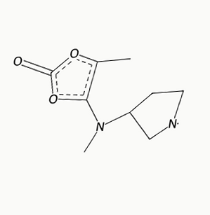 Cc1oc(=O)oc1N(C)C1CC[N]C1